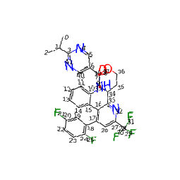 CC(C)c1ncc(C(=O)Nc2ccccc2-c2c(-c3cc(F)ccc3F)cc(C(F)(F)F)nc2C2CCOCC2)cn1